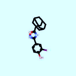 Oc1ccc(-c2noc(C34CC5CC(CC(C5)C3)C4)n2)cc1I